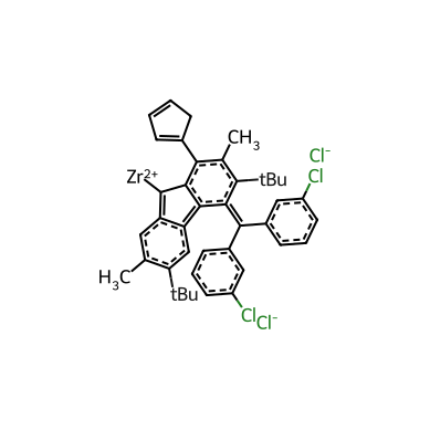 Cc1cc2c(cc1C(C)(C)C)=c1c(c(C3=CC=CC3)c(C)c(C(C)(C)C)c1=C(c1cccc(Cl)c1)c1cccc(Cl)c1)[C]=2[Zr+2].[Cl-].[Cl-]